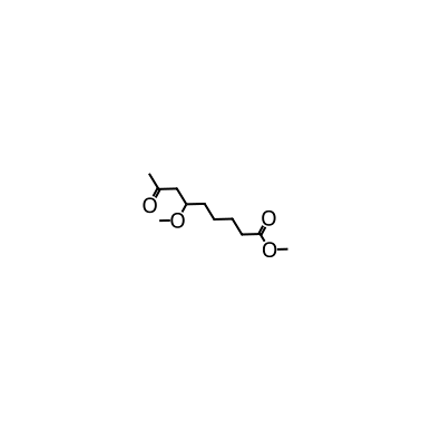 COC(=O)CCCCC(CC(C)=O)OC